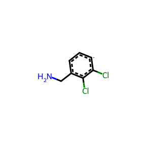 NCc1cc[c]c(Cl)c1Cl